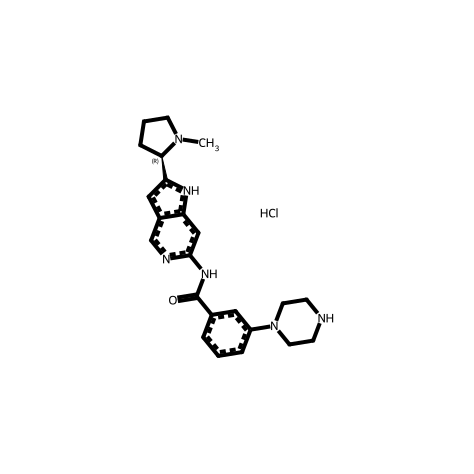 CN1CCC[C@@H]1c1cc2cnc(NC(=O)c3cccc(N4CCNCC4)c3)cc2[nH]1.Cl